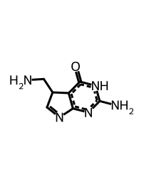 NCC1C=Nc2nc(N)[nH]c(=O)c21